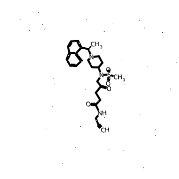 C#CCNC(=O)CCC(=O)CN(C1CCN([C@H](C)c2cccc3ccccc23)CC1)S(C)(=O)=O